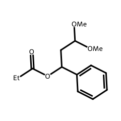 CCC(=O)OC(CC(OC)OC)c1ccccc1